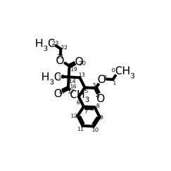 CCOC(=O)C(Cc1ccccc1)CC(C)(C(C)=O)C(=O)OCC